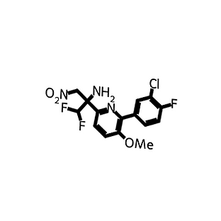 COc1ccc(C(N)(C[N+](=O)[O-])C(F)F)nc1-c1ccc(F)c(Cl)c1